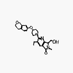 CCc1cc2c(nc1N1CCC(Oc3ccc4c(c3)COCC4)CC1)C(CO)N(C)C2=O